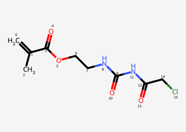 C=C(C)C(=O)OCCNC(=O)NC(=O)CCl